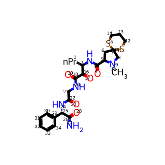 CCCC(NC(=O)C1CC2(CN1C)SCCCS2)C(=O)C(=O)NCC(=O)N[C@H](C(N)=O)c1ccccc1